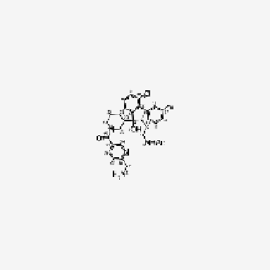 CC(=O)NCCC[C@@](O)(c1cccc(Cl)c1-c1cccc(C)c1)C1CCCN(C(=O)c2ccc(CN)nc2)C1